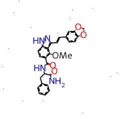 COc1c(C(=O)NC(Cc2ccccc2)C(N)=O)ccc2[nH]nc(/C=C/c3ccc4c(c3)OCO4)c12